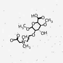 COC1OC(C(=O)O)[C@@H](OC)[C@H](O)[C@H]1OCC[N+](C)(C)CC(=O)[O-]